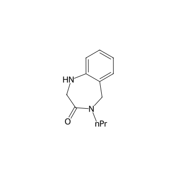 CCCN1Cc2ccccc2NCC1=O